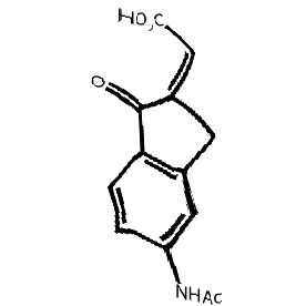 CC(=O)Nc1ccc2c(c1)C/C(=C/C(=O)O)C2=O